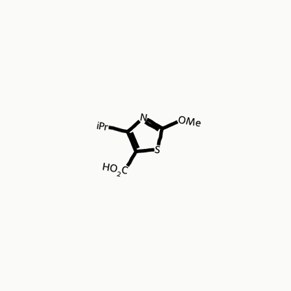 COc1nc(C(C)C)c(C(=O)O)s1